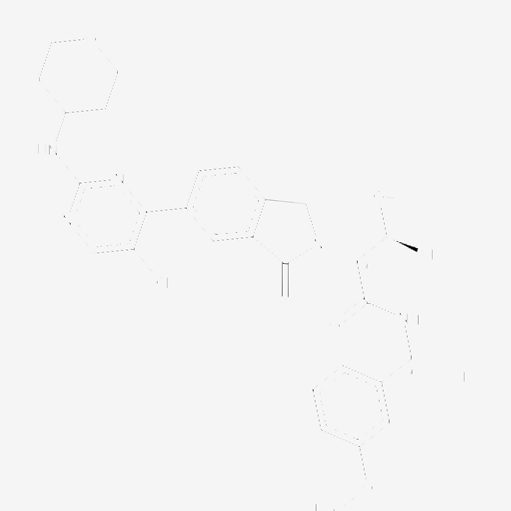 COc1cccc([C@@H](C)NC(=O)[C@@H]([C@H](C)O)N2Cc3ccc(-c4nc(NC5CCOCC5)ncc4Cl)cc3C2=O)c1